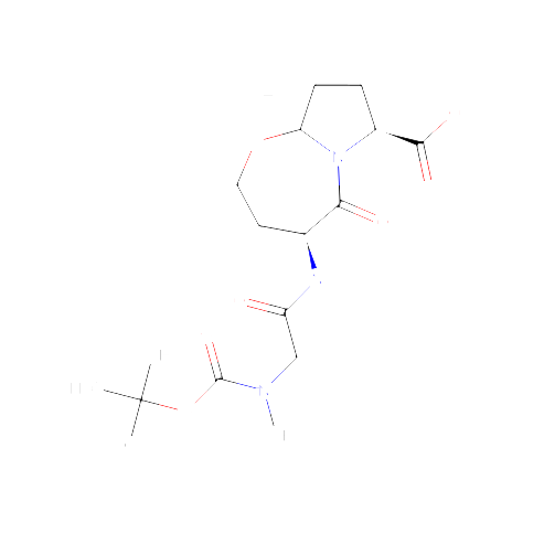 CN(CC(=O)N[C@H]1CCO[C@H]2CC[C@@H](C(=O)O)N2C1=O)C(=O)OC(C)(C)C